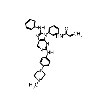 C=CC(=O)Nc1cccc(-n2c(Nc3ccccc3)nc3cnc(Nc4ccc(N5CCN(C)CC5)cc4)nc32)c1